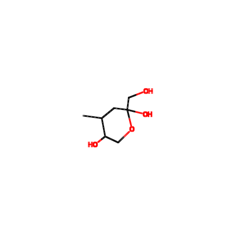 CC1CC(O)(CO)OCC1O